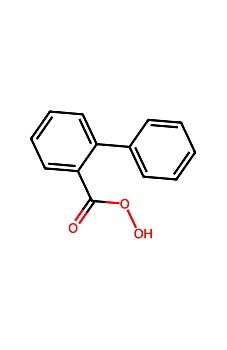 O=C(OO)c1ccccc1-c1ccccc1